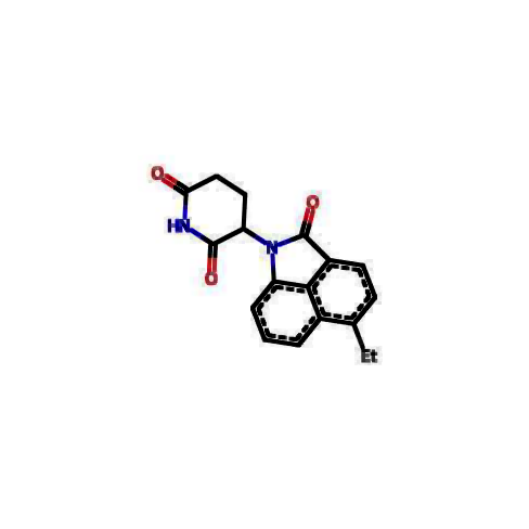 CCc1ccc2c3c(cccc13)N(C1CCC(=O)NC1=O)C2=O